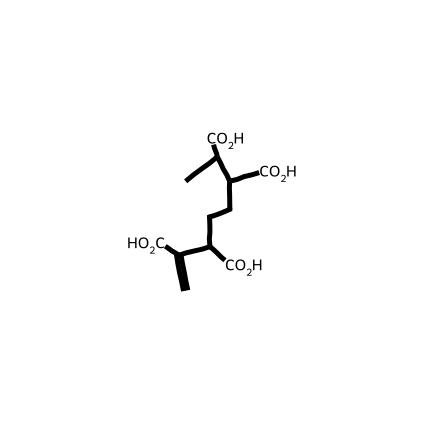 C=C(C(=O)O)C(CCC(C(=O)O)C(C)C(=O)O)C(=O)O